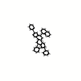 c1ccc(-c2ccc3c(c2)c(-c2cccc4cccnc24)cc2c4ccc(-c5ccccc5)c5c4c(cc32)-c2ccccc2-5)cc1